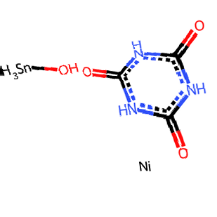 O=c1[nH]c(=O)[nH]c(=O)[nH]1.[Ni].[OH][SnH3]